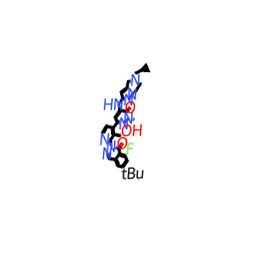 Cn1nc(-c2ccnc(-n3ncc4cc(C(C)(C)C)cc(F)c4c3=O)c2CO)cc(Nc2cc3n(n2)CCN(CC2CC2)C3)c1=O